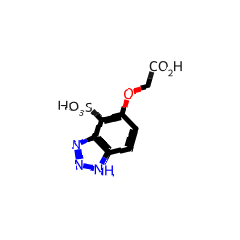 O=C(O)COc1ccc2[nH]nnc2c1S(=O)(=O)O